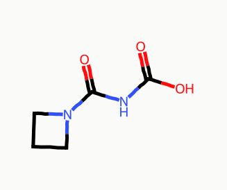 O=C(O)NC(=O)N1CCC1